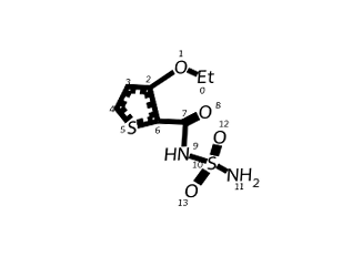 CCOc1ccsc1C(=O)NS(N)(=O)=O